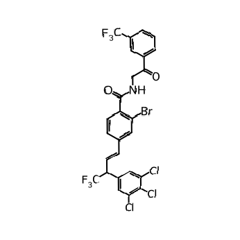 O=C(CNC(=O)c1ccc(/C=C/C(c2cc(Cl)c(Cl)c(Cl)c2)C(F)(F)F)cc1Br)c1cccc(C(F)(F)F)c1